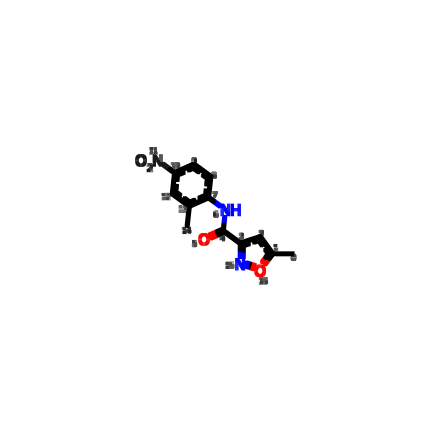 Cc1cc(C(=O)Nc2ccc([N+](=O)[O-])cc2C)no1